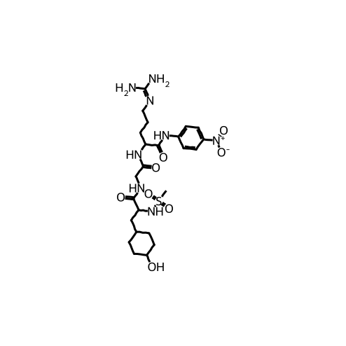 CS(=O)(=O)NC(CC1CCC(O)CC1)C(=O)NCC(=O)NC(CCCN=C(N)N)C(=O)Nc1ccc([N+](=O)[O-])cc1